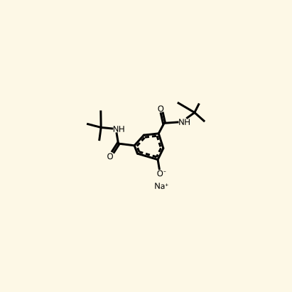 CC(C)(C)NC(=O)c1cc([O-])cc(C(=O)NC(C)(C)C)c1.[Na+]